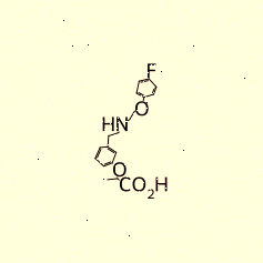 CC(Oc1cccc(CCNCCOc2ccc(F)cc2)c1)C(=O)O